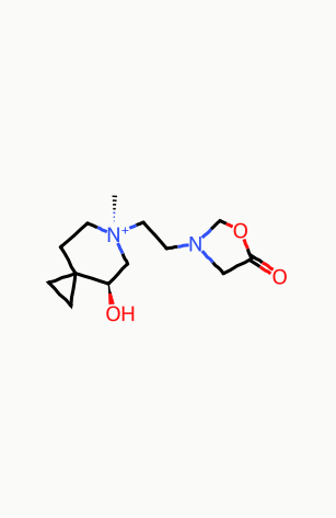 C[N@@+]1(CCN2COC(=O)C2)CCC2(CC2)[C@H](O)C1